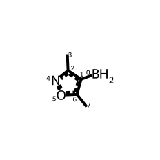 Bc1c(C)noc1C